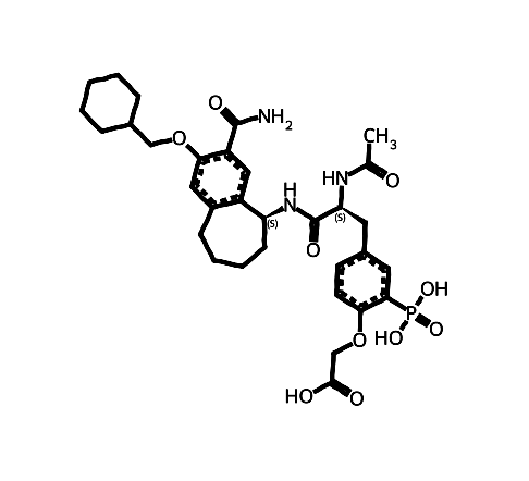 CC(=O)N[C@@H](Cc1ccc(OCC(=O)O)c(P(=O)(O)O)c1)C(=O)N[C@H]1CCCCc2cc(OCC3CCCCC3)c(C(N)=O)cc21